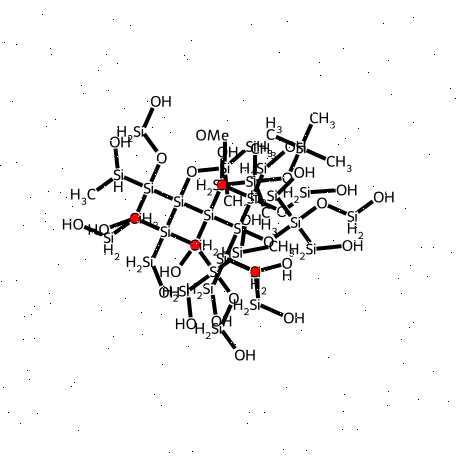 CO[Si](C)([SiH3])O[Si]([Si](O[SiH2]O)([SiH2]O)[SiH2]O)([Si](O[SiH2]O)([SiH2]O)[SiH](C)O)[Si](O[Si](C)(C)O[Si](C)(C)C)(O[Si](O[SiH2]O)([SiH2]O)[SiH](C)O)[Si](O[Si](O[SiH2]O)([SiH2]O)[SiH2]O)([Si](O[SiH2]O)([SiH2]O)[SiH2]O)[Si](O[SiH2]O)([SiH2]O)[SiH2]O